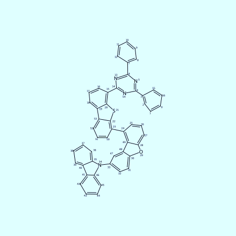 c1ccc(-c2nc(-c3ccccc3)nc(-c3cccc4c3sc3c(-c5cccc6oc7ccc(-n8c9ccccc9c9ccccc98)cc7c56)cccc34)n2)cc1